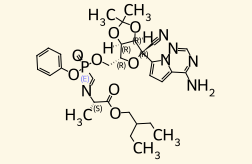 CCC(CC)COC(=O)[C@H](C)/N=C/P(=O)(OC[C@H]1O[C@@](C#N)(c2ccc3c(N)ncnn23)[C@@H]2OC(C)(C)O[C@@H]21)Oc1ccccc1